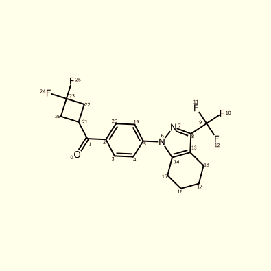 O=C(c1ccc(-n2nc(C(F)(F)F)c3c2CCCC3)cc1)C1CC(F)(F)C1